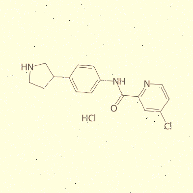 Cl.O=C(Nc1ccc(C2CCNC2)cc1)c1cc(Cl)ccn1